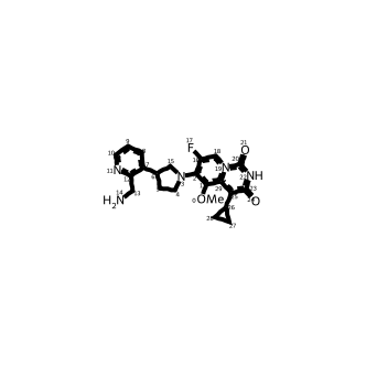 COc1c(N2CCC(c3cccnc3CN)C2)c(F)cn2c(=O)[nH]c(=O)c(C3CC3)c12